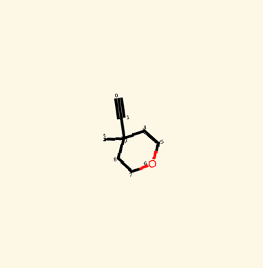 C#CC1(C)CCOCC1